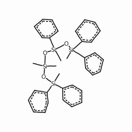 C[Si](C)(O[Si](C)(O[Si](C)(c1ccccc1)c1ccccc1)c1ccccc1)O[Si](C)(c1ccccc1)c1ccccc1